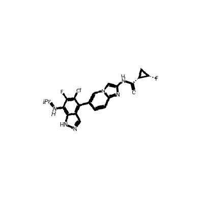 CC(C)Nc1c(F)c(Cl)c(-c2ccc3nc(NC(=O)[C@@H]4C[C@@H]4F)cn3c2)c2cn[nH]c12